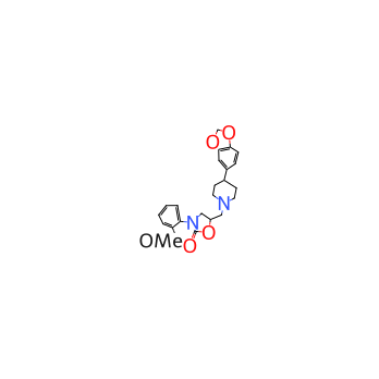 COc1ccccc1N1CC(CN2CCC(c3ccc4c(c3)OCO4)CC2)OC1=O